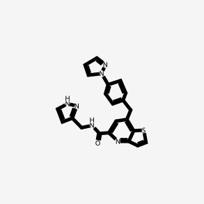 O=C(NCc1cc[nH]n1)c1cc(Cc2ccc(-n3cccn3)cc2)c2sccc2n1